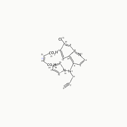 C#CCN(c1ccnc2cc(Cl)ccc12)n1cccc1.O=C(O)/C=C\C(=O)O